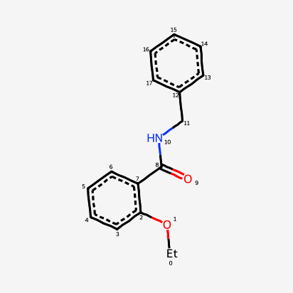 CCOc1ccccc1C(=O)NCc1cc[c]cc1